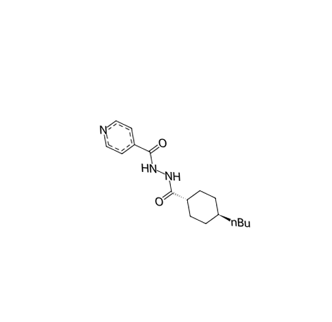 CCCC[C@H]1CC[C@H](C(=O)NNC(=O)c2ccncc2)CC1